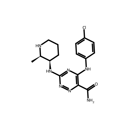 C[C@H]1NCCC[C@H]1Nc1nnc(C(N)=O)c(Nc2ccc(Cl)cc2)n1